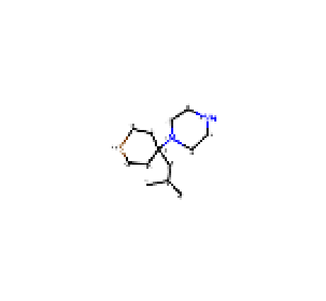 CC(C)CC1(N2CCNCC2)CCSCC1